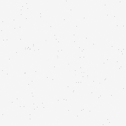 Cc1c(Cl)ccc(S(=O)(=O)N(CCc2ccccc2)CC(=O)NCC(=O)N(CCCCN(C)C)Cc2ccc(C=NN)cc2)c1Cl